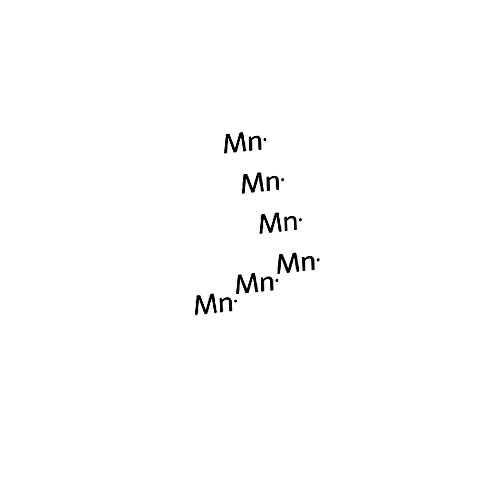 [Mn].[Mn].[Mn].[Mn].[Mn].[Mn]